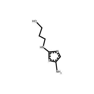 Nc1cnc(NCCCO)s1